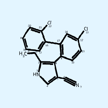 CCc1[nH]cc(C#N)c1-c1ccc(Cl)cc1-c1ccccc1Cl